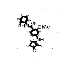 COc1cc(NC2=C(C)C(=O)CC2)ccc1C(=O)Nc1ccccc1C